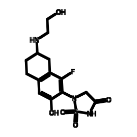 O=C1CN(c2c(O)cc3c(c2F)CC(NCCO)CC3)S(=O)(=O)N1